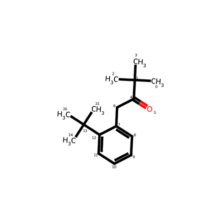 CC(C)(C)C(=O)Cc1ccccc1C(C)(C)C